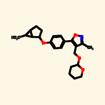 Cc1noc(-c2ccc(OC3CCC4C(C(=O)O)C34)cc2)c1COC1CCCCO1